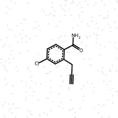 C#CCc1cc(Cl)ccc1C(N)=O